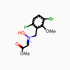 COC(=O)/C=[N+](\O)Cc1c(F)ccc(Br)c1OC